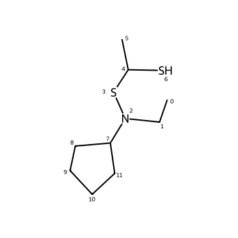 CCN(SC(C)S)C1CCCC1